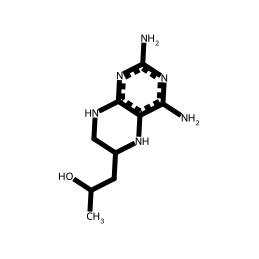 CC(O)CC1CNc2nc(N)nc(N)c2N1